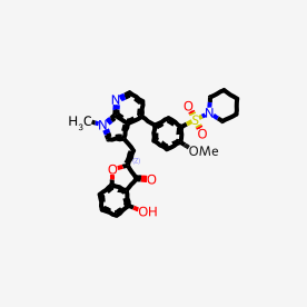 COc1ccc(-c2ccnc3c2c(/C=C2\Oc4cccc(O)c4C2=O)cn3C)cc1S(=O)(=O)N1CCCCC1